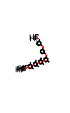 Cc1cccc(C)c1.Cc1cccc(C)c1.Cc1cccc(C)c1.Cc1cccc(C)c1.Cc1cccc(C)c1.Cc1cccc(C)c1.F.F.F.F.F.F